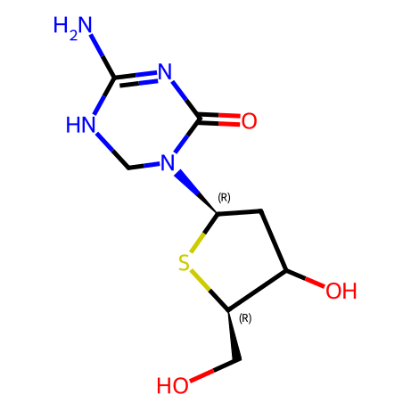 NC1=NC(=O)N([C@H]2CC(O)[C@@H](CO)S2)CN1